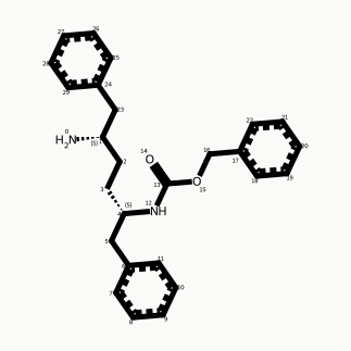 N[C@@H](CC[C@@H](Cc1ccccc1)NC(=O)OCc1ccccc1)Cc1ccccc1